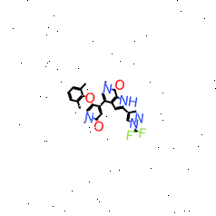 Cc1cccc(C)c1Oc1cn(C)c(=O)cc1-c1cn(C)c(=O)c2[nH]c(-c3cnn(C(F)F)c3)cc12